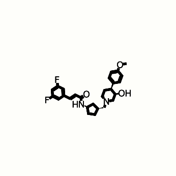 COc1ccc([C@@H]2CCN(C[C@@H]3CC[C@H](NC(=O)/C=C/c4cc(F)cc(F)c4)C3)C[C@@H]2O)cc1